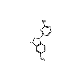 Nc1nccc(N2CNc3cc([N+](=O)[O-])ccc32)n1